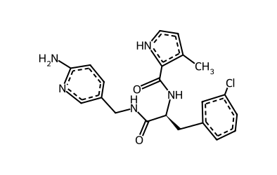 Cc1cc[nH]c1C(=O)N[C@@H](Cc1cccc(Cl)c1)C(=O)NCc1ccc(N)nc1